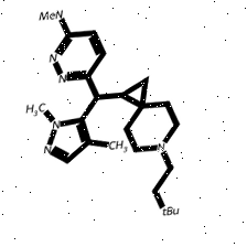 CNc1ccc(C(c2c(C)cnn2C)C2CC23CCN(CCC(C)(C)C)CC3)nn1